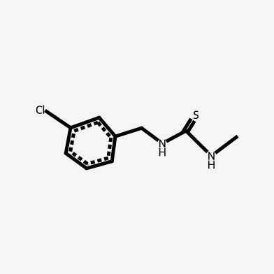 CNC(=S)NCc1cccc(Cl)c1